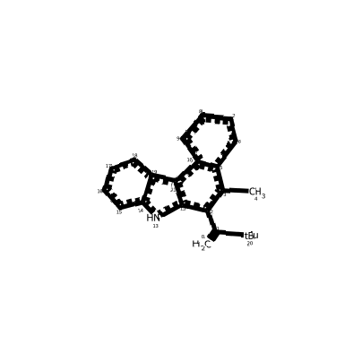 C=C(c1c(C)c2ccccc2c2c1[nH]c1ccccc12)C(C)(C)C